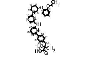 CCOc1ccccc1O[C@@H]1CCCN(c2cncc(Nc3cccc(-c4ccc(CC(C)(C)C(=O)O)cc4)n3)n2)C1